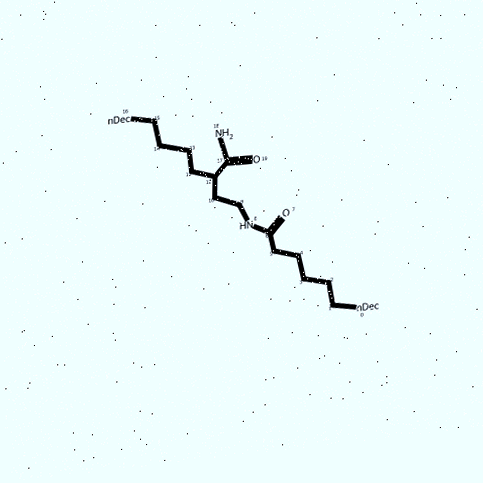 CCCCCCCCCCCCCCCC(=O)NCCC(CCCCCCCCCCCCCC)C(N)=O